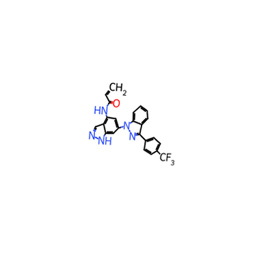 C=CC(=O)Nc1cc(-n2nc(-c3ccc(C(F)(F)F)cc3)c3ccccc32)cc2[nH]ncc12